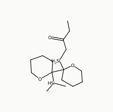 CCC(=O)C[SiH2]C1(C2([SiH](C)C)CCCCO2)CCCCO1